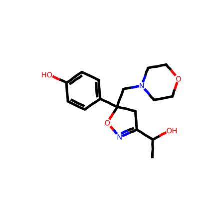 CC(O)C1=NOC(CN2CCOCC2)(c2ccc(O)cc2)C1